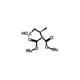 C[C@H](CC(=O)O)N(C(=O)OC(C)(C)C)C(=O)OC(C)(C)C